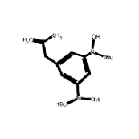 C=C(C)Cc1cc(N(O)C(C)(C)C)cc(N(O)C(C)(C)C)c1